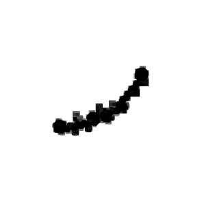 NC(CCC(=O)N1CCC(Nc2ccnc(NCc3cn(CCCNCCCNC4CCCCC4)nn3)n2)CC1)C(=O)OCC1CCCCC1